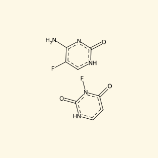 Nc1nc(=O)[nH]cc1F.O=c1cc[nH]c(=O)n1F